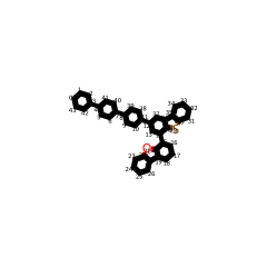 c1ccc(-c2ccc(-c3ccc(-c4cc(-c5cccc6c5oc5ccccc56)c5sc6ccccc6c5c4)cc3)cc2)cc1